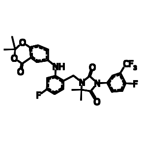 CC1(C)OC(=O)c2cc(Nc3cc(F)ccc3CN3C(=O)N(c4ccc(F)c(C(F)(F)F)c4)C(=O)C3(C)C)ccc2O1